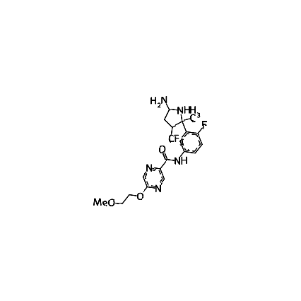 COCCOc1cnc(C(=O)Nc2ccc(F)c(C3(C)NC(N)CC3C(F)(F)F)c2)cn1